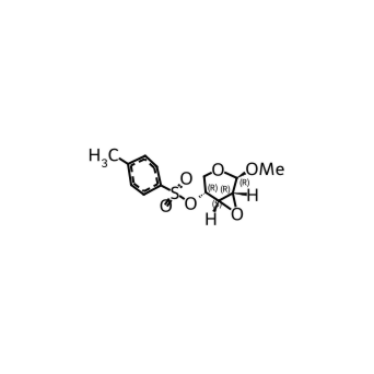 CO[C@@H]1OC[C@@H](OS(=O)(=O)c2ccc(C)cc2)[C@H]2O[C@@H]12